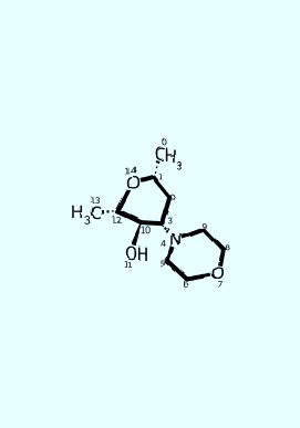 C[C@@H]1C[C@H](N2CCOCC2)[C@@H](O)[C@H](C)O1